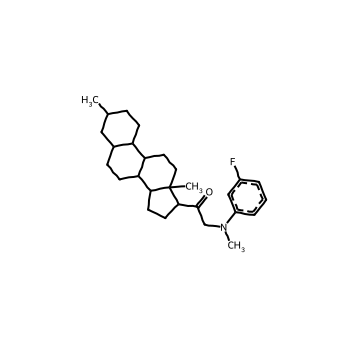 CC1CCC2C(CCC3C2CCC2(C)C(C(=O)CN(C)c4cccc(F)c4)CCC32)C1